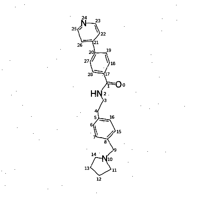 O=C(NCCc1ccc(CN2CCCC2)cc1)c1ccc(-c2ccncc2)cc1